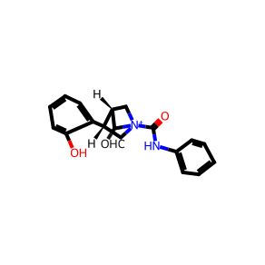 O=CC1[C@H]2C[N+]1(C(=O)Nc1ccccc1)C[C@@H]2c1ccccc1O